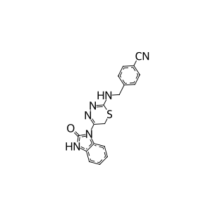 N#Cc1ccc(CNC2=NN=C(n3c(=O)[nH]c4ccccc43)CS2)cc1